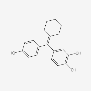 Oc1ccc(C(=C2CCCCC2)c2ccc(O)c(O)c2)cc1